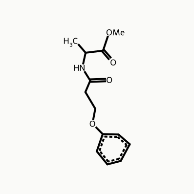 COC(=O)C(C)NC(=O)CCOc1ccccc1